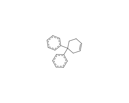 C1=CCC(c2ccccc2)(c2ccccc2)CC1